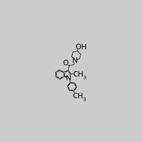 Cc1ccc(-n2c(C)c(C(=O)CN3CCC(O)CC3)c3ccccc32)cc1